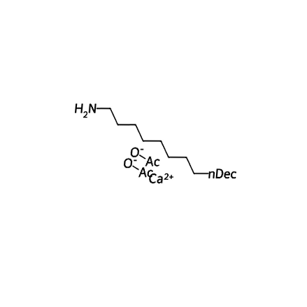 CC(=O)[O-].CC(=O)[O-].CCCCCCCCCCCCCCCCCCN.[Ca+2]